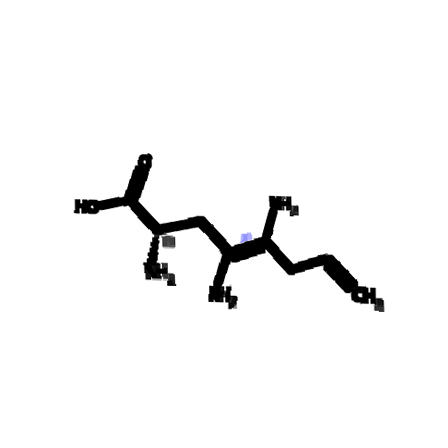 C=CC/C(N)=C(\N)C[C@H](N)C(=O)O